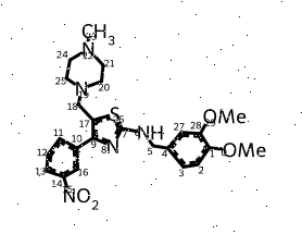 COc1ccc(CNc2nc(-c3cccc([N+](=O)[O-])c3)c(CN3CCN(C)CC3)s2)cc1OC